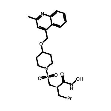 Cc1cc(COC2CCN(S(=O)(=O)C[C@H](CC(C)C)C(=O)NO)CC2)c2ccccc2n1